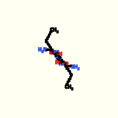 CCCCCCCC/C=C\CCCCCC(CCCN)CC(=O)NCC(O)CN1CCN(CC(O)CNC(=O)CC(CCCN)CCCCC/C=C\CCCCCCCC)CC1